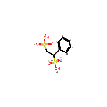 O=S(=O)(O)CC(c1ccccc1)S(=O)(=O)O